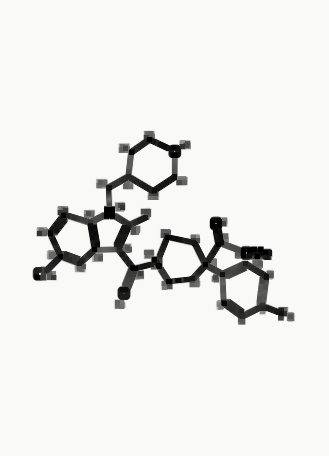 COC(=O)C1(c2ccc(F)cc2)CCN(C(=O)c2c(C)n(CC3CCOCC3)c3ccc(Cl)cc23)CC1